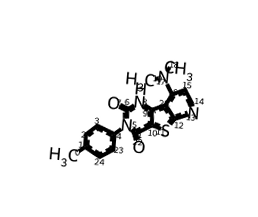 Cc1ccc(-n2c(=O)[nH]c3c(sc4nccc(N(C)C)c43)c2=O)cc1